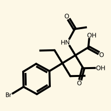 CCC(CC)(c1ccc(Br)cc1)C(NC(C)=O)(C(=O)O)C(=O)O